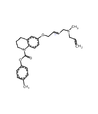 C=CCN(C)C/C=C/COc1ccc2c(c1)CCCN2C(=O)Oc1ccc(C)cc1